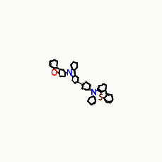 c1ccc(N(c2ccc(-c3ccc4c(c3)c3ccccc3n4-c3ccc4oc5ccccc5c4c3)cc2)c2cccc3c2sc2ccccc23)cc1